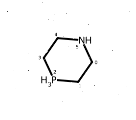 C1C[PH3]CCN1